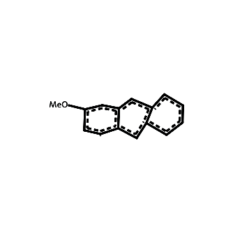 COc1c[c]c2cc3ccccc3cc2c1